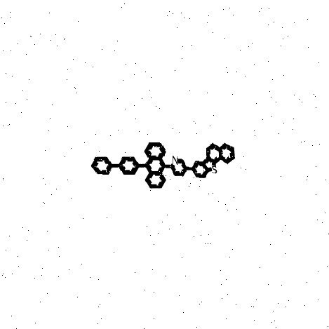 c1ccc(-c2ccc(-c3c4ccccc4c(-c4ccc(-c5ccc6sc7c8ccccc8ccc7c6c5)cn4)c4ccccc34)cc2)cc1